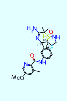 COc1cnc(C(=O)Nc2ccc(F)c([C@@]3(C)N=C(N)C(C)(C)[SH]4(=O)NCC[C@H]34)c2)c(C)c1